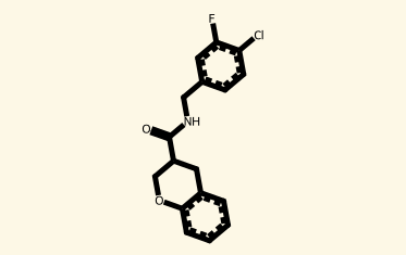 O=C(NCc1ccc(Cl)c(F)c1)C1COc2ccccc2C1